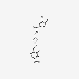 COc1ccc(CCN2CC(CNC(=O)c3ccc(F)c(Cl)c3)C2)c(C)c1C